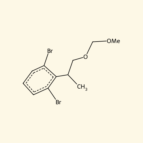 COCOCC(C)c1c(Br)cccc1Br